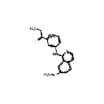 C=C(/C=C(\C=C/N)Nc1nccc2ccc(OC)cc12)C(=O)CC